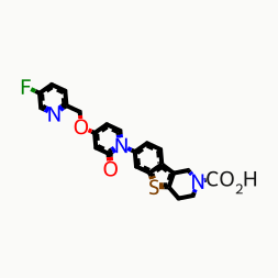 O=C(O)N1CCc2sc3cc(-n4ccc(OCc5ccc(F)cn5)cc4=O)ccc3c2C1